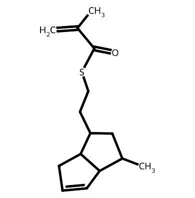 C=C(C)C(=O)SCCC1CC(C)C2C=CCC12